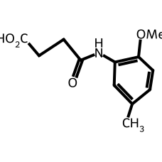 COc1ccc(C)cc1NC(=O)CCC(=O)O